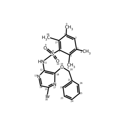 Cc1cc(C)c(C)c(S(=O)(=O)Nc2ncc(Br)nc2OCc2ccccc2)c1C